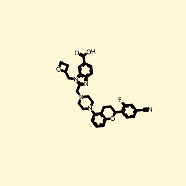 N#Cc1ccc(C2CCc3c(cccc3N3CCN(Cc4nc5ccc(C(=O)O)cc5n4CC4CCO4)CC3)O2)c(F)c1